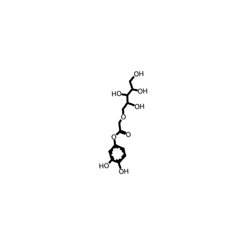 O=C(COCC(O)C(O)C(O)CO)Oc1ccc(O)c(O)c1